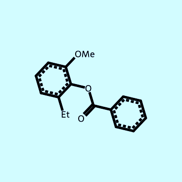 CCc1cccc(OC)c1OC(=O)c1ccccc1